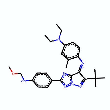 CCN(CC)c1ccc(/N=C2/C(C(C)(C)C)=Nn3nc(-c4ccc(NCOC)cc4)nc32)c(C)c1